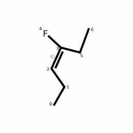 CC/C=C(/F)CC